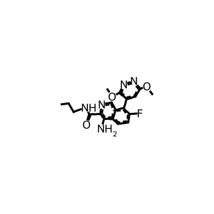 CCCNC(=O)c1ncc2c(-c3cc(OC)nnc3OC)c(F)ccc2c1N